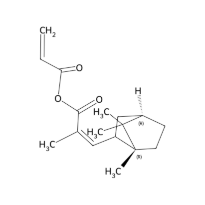 C=CC(=O)OC(=O)C(C)=CC1C[C@H]2CC[C@@]1(C)C2(C)C